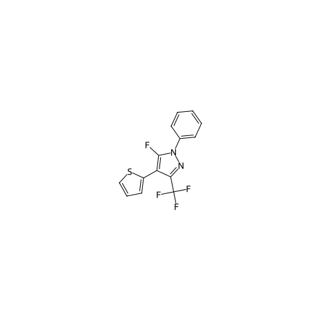 Fc1c(-c2cccs2)c(C(F)(F)F)nn1-c1ccccc1